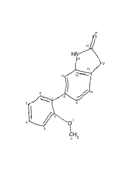 COc1ccccc1-c1ccc2c(c1)NC(=O)C2